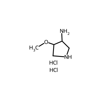 COC1CNCC1N.Cl.Cl